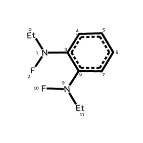 CCN(F)c1[c]cccc1N(F)CC